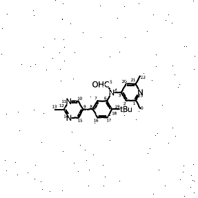 Cc1cc(N(C=O)c2cc(-c3cnc(C)nc3)ccc2C(C)(C)C)cc(C)n1